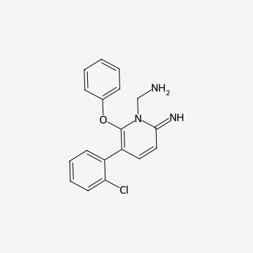 N=c1ccc(-c2ccccc2Cl)c(Oc2ccccc2)n1CN